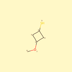 COC1CC(S)C1